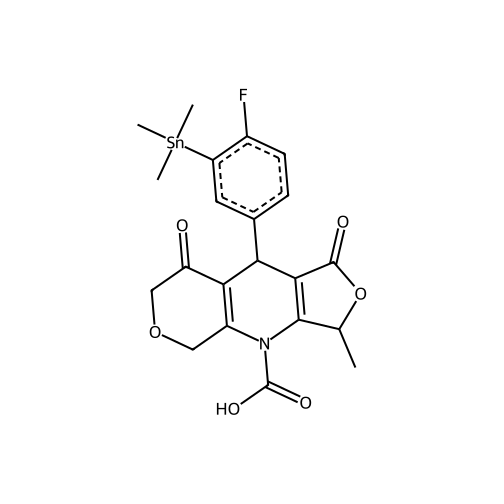 CC1OC(=O)C2=C1N(C(=O)O)C1=C(C(=O)COC1)C2c1ccc(F)[c]([Sn]([CH3])([CH3])[CH3])c1